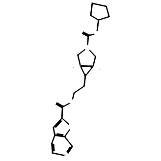 O=C(NCCC1[C@H]2CN(C(=O)OC3CCCC3)C[C@@H]12)c1cc2ccncc2o1